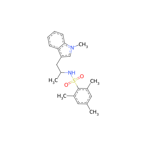 Cc1cc(C)c(S(=O)(=O)NC(C)Cc2cn(C)c3ccccc23)c(C)c1